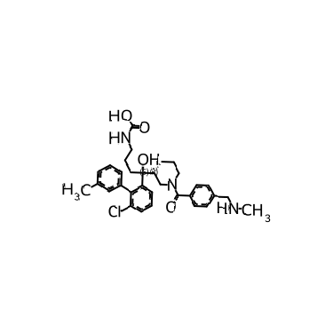 CNCc1ccc(C(=O)N2CCC[C@@H]([C@@](O)(CCCNC(=O)O)c3cccc(Cl)c3-c3cccc(C)c3)C2)cc1